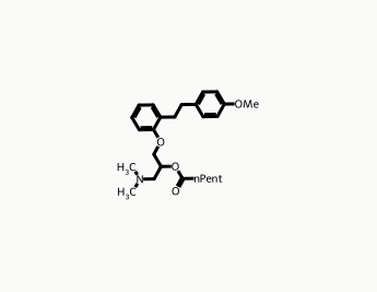 CCCCCC(=O)OC(COc1ccccc1CCc1ccc(OC)cc1)CN(C)C